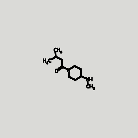 CNC1CCN(C(=O)CC(C)C)CC1